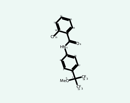 COC(c1ccc(NC(=O)c2ccccc2Cl)cc1)(C(F)(F)F)C(F)(F)F